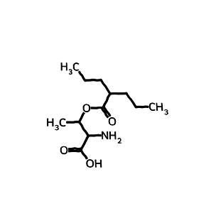 CCCC(CCC)C(=O)OC(C)C(N)C(=O)O